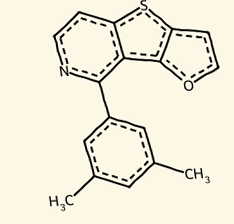 Cc1cc(C)cc(-c2nccc3sc4ccoc4c23)c1